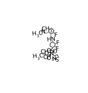 CN(C)Cc1cccc(F)c1CNc1ccc(S(=O)(=O)N(C(=O)OC(C)(C)C)c2ccsn2)c(F)c1F